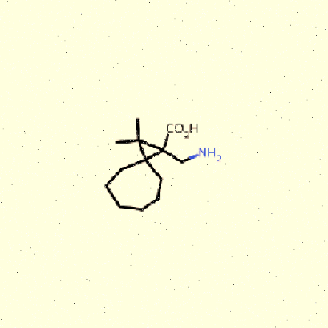 CC1(C)C2(CCCCCC2)C1(CN)C(=O)O